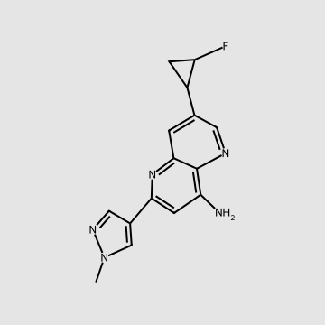 Cn1cc(-c2cc(N)c3ncc(C4CC4F)cc3n2)cn1